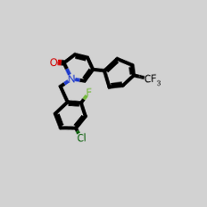 O=c1ccc(-c2ccc(C(F)(F)F)cc2)cn1Cc1ccc(Cl)cc1F